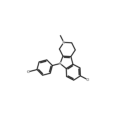 CN1CCc2c(n(-c3ccc(Cl)cc3)c3ccc(Cl)cc23)C1